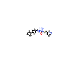 O=C(N/N=C/c1ccc(-c2ccccc2)cc1)NSCc1cccnc1